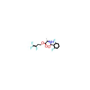 C[C@H](NC(=O)c1c(F)cccc1F)C(=O)OCCC(F)=C(F)F